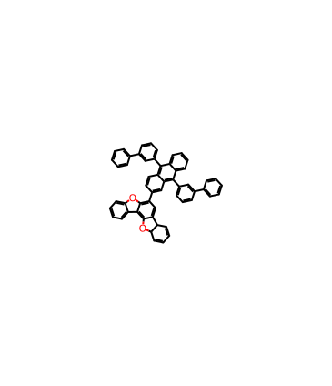 C1=CC2Oc3c(cc(-c4ccc5c(-c6cccc(-c7ccccc7)c6)c6ccccc6c(-c6cccc(-c7ccccc7)c6)c5c4)c4oc5ccccc5c34)C2C=C1